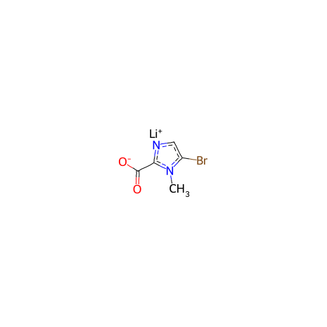 Cn1c(Br)cnc1C(=O)[O-].[Li+]